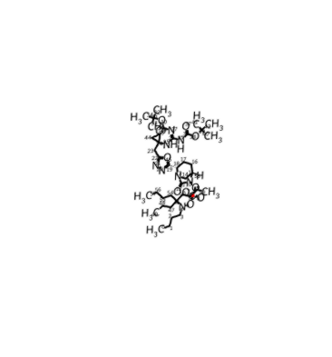 CCCCN(OS(=O)(=O)ON1C(=O)N2C[C@@H]1CC[C@H]2c1nnc(CC2(N/C(=N\C(=O)OC(C)(C)C)NC(=O)OC(C)(C)C)CC2)o1)C(CCC)(CCCC)CCCC